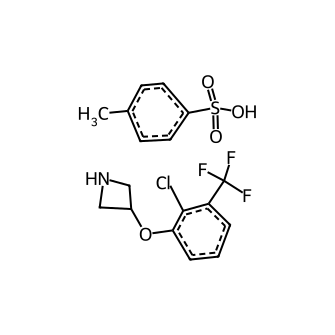 Cc1ccc(S(=O)(=O)O)cc1.FC(F)(F)c1cccc(OC2CNC2)c1Cl